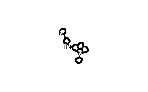 c1ccc(-n2c3cccc4ccc5cc(Nc6ccc(-c7ccccn7)cc6)cc2c5c43)cc1